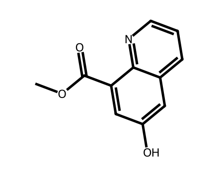 COC(=O)c1cc(O)cc2cccnc12